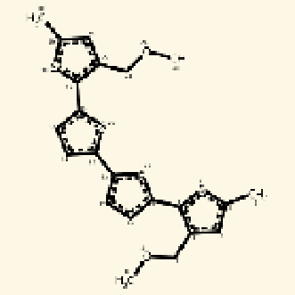 COCc1cc(C)sc1-c1ccc(-c2ccc(-c3sc(C)cc3COC)s2)s1